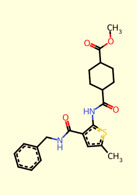 COC(=O)C1CCC(C(=O)Nc2sc(C)cc2C(=O)NCc2ccccc2)CC1